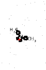 Cc1ccc(C(OC(C2=CCC2)c2ccc(C)cc2)C2=CCC2)cc1